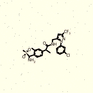 Cc1cc(C(C)C(=O)NCc2cc(C(F)(F)F)nn2-c2cccc(Cl)c2)ccc1C(N)S(C)(=O)=O